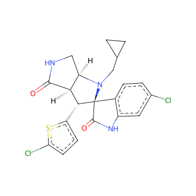 O=C1NC[C@@H]2[C@H]1[C@@H](c1ccc(Cl)s1)[C@]1(C(=O)Nc3cc(Cl)ccc31)N2CC1CC1